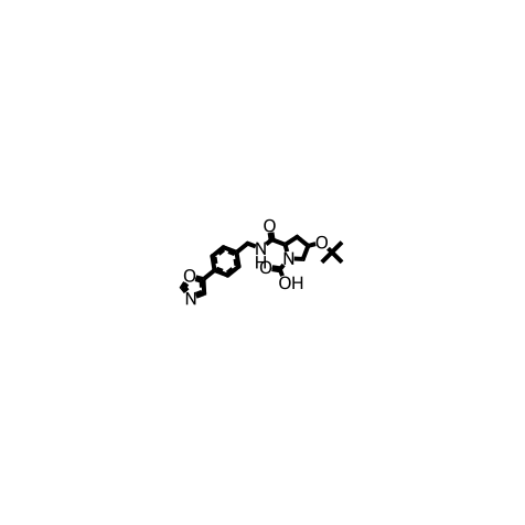 CC(C)(C)OC1CC(C(=O)NCc2ccc(-c3cnco3)cc2)N(C(=O)O)C1